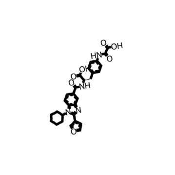 O=C(O)C(=O)Nc1ccc(C[C@H](NC(=O)c2ccc3c(c2)nc(-c2ccoc2)n3C2CCCCC2)C(=O)O)cc1